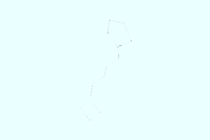 C1CCC(CCCCC2CCC2)C1